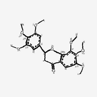 COc1cc(C2CC(=O)c3cc(OC)c(OC)c(OC)c3O2)cc(OC)c1OC